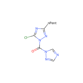 CCCCCc1nc(Cl)n(C(=O)n2cncn2)n1